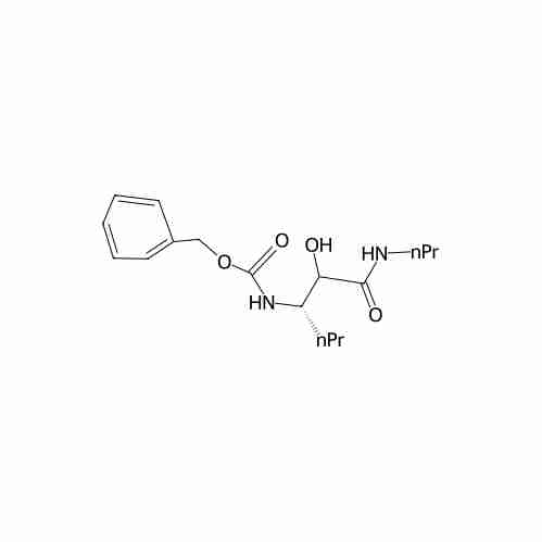 CCCNC(=O)C(O)[C@H](CCC)NC(=O)OCc1ccccc1